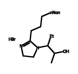 Br.CCCCCCCCCCCCC1=NCCN1C(CC)C(C)O